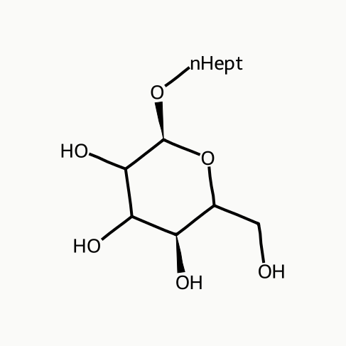 CCCCCCCO[C@H]1OC(CO)[C@@H](O)C(O)C1O